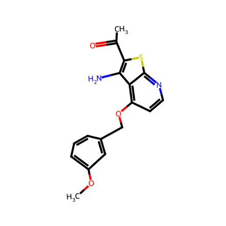 COc1cccc(COc2ccnc3sc(C(C)=O)c(N)c23)c1